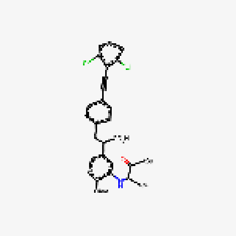 COc1ccc(C(Cc2ccc(C#Cc3c(Cl)cccc3Cl)cc2)C(=O)O)cc1NC(C(=O)C(C)(C)C)C(C)C